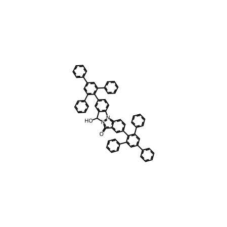 O=c1c2cc(-c3c(-c4ccccc4)cc(-c4ccccc4)cc3-c3ccccc3)ccc2n2n1C(O)c1cc(-c3c(-c4ccccc4)cc(-c4ccccc4)cc3-c3ccccc3)ccc1-2